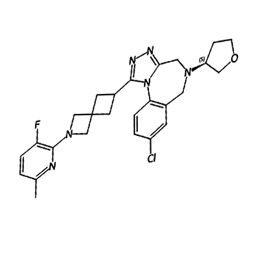 Cc1ccc(F)c(N2CC3(CC(c4nnc5n4-c4ccc(Cl)cc4CN([C@H]4CCOC4)C5)C3)C2)n1